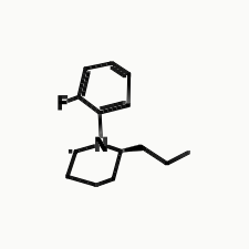 CCC[C@H]1CCC[CH]N1c1ccccc1F